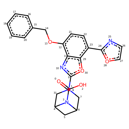 O=C(O)N1C2CC1CN(c1nc3c(OCc4ccccc4)ccc(-c4ncco4)c3o1)C2